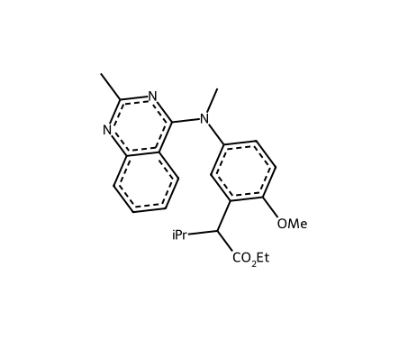 CCOC(=O)C(c1cc(N(C)c2nc(C)nc3ccccc23)ccc1OC)C(C)C